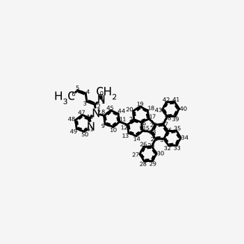 C=N/C(=C\C=C/C)N(c1ccc(-c2ccc3c4c(cccc24)-c2c-3c(-c3ccccc3)c3ccccc3c2-c2ccccc2)cc1)c1ccccn1